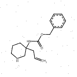 C=CCC1(NC(=O)OCc2ccccc2)CCCNC1